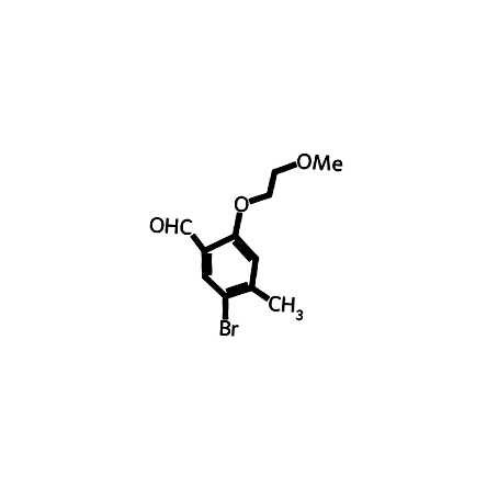 COCCOc1cc(C)c(Br)cc1C=O